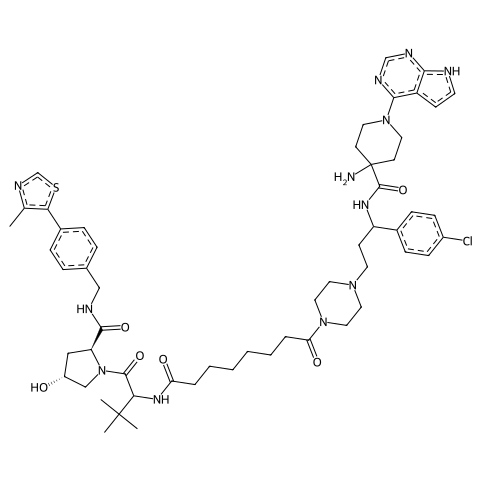 Cc1ncsc1-c1ccc(CNC(=O)[C@@H]2C[C@@H](O)CN2C(=O)C(NC(=O)CCCCCCC(=O)N2CCN(CCC(NC(=O)C3(N)CCN(c4ncnc5[nH]ccc45)CC3)c3ccc(Cl)cc3)CC2)C(C)(C)C)cc1